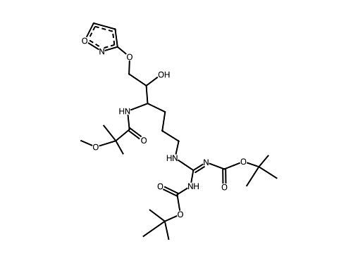 COC(C)(C)C(=O)NC(CCCNC(=NC(=O)OC(C)(C)C)NC(=O)OC(C)(C)C)C(O)COc1ccon1